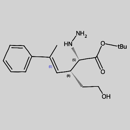 C/C(=C\[C@@H](CCO)[C@H](NN)C(=O)OC(C)(C)C)c1ccccc1